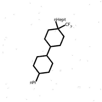 CCCCCCCC1(C(F)(F)F)CCC(C2CCC(CCC)CC2)CC1